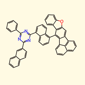 c1ccc(-c2nc(-c3ccc4ccccc4c3)nc(-c3cccc4c(-c5c6c(cc7oc8ccccc8c57)-c5cccc7cccc-6c57)cccc34)n2)cc1